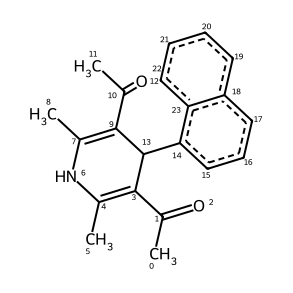 CC(=O)C1=C(C)NC(C)=C(C(C)=O)C1c1cccc2ccccc12